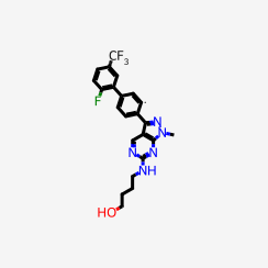 Cn1nc(-c2[c]cc(-c3cc(C(F)(F)F)ccc3F)cc2)c2cnc(NCCCCO)nc21